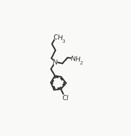 CCCCN(CCN)Cc1ccc(Cl)cc1